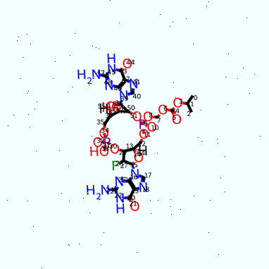 CC(C)OC(=O)OCOP1(=O)OC[C@H]2O[C@@H](n3cnc4c(=O)[nH]c(N)nc43)C(F)C2OP(=O)(O)OC[C@H]2O[C@@H](n3cnc4c(=O)[nH]c(N)nc43)C(O1)C2O